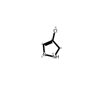 ClC1=C[N]NC1